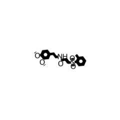 COc1ccc(CCNC(=O)/C=C/S(=O)(=O)c2ccccc2C)cc1OC